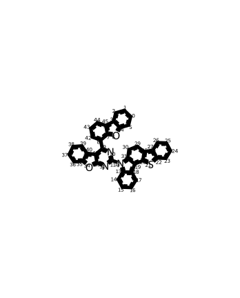 c1ccc2c(c1)oc1c(-c3nc(-n4c5ccccc5c5c6sc7ccccc7c6ccc54)nc4oc5ccccc5c34)cccc12